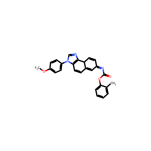 Cc1ccccc1OC(=O)N=C1C=CC2C(=C1)C=Cc1c2ncn1-c1ccc(OC(F)(F)F)cc1